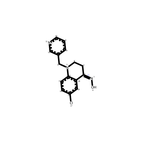 O/N=C1/CCN(Cc2cccnc2)c2ccc(Cl)cc21